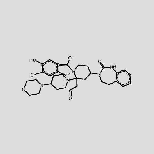 O=CCC1(N2CCC(N3CCOCC3)CC2)CC(N2CCc3ccccc3NC2=O)CC[N@+]1(Cc1ccc(O)c(Cl)c1)C(=O)[O-]